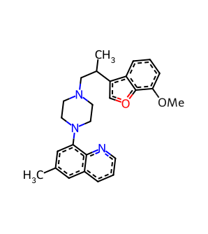 COc1cccc2c(C(C)CN3CCN(c4cc(C)cc5cccnc45)CC3)coc12